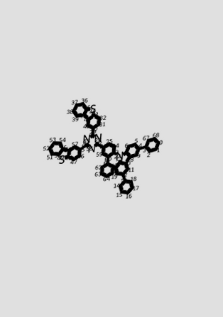 c1ccc(-c2ccc3c(c2)c2cc(-c4ccccc4)ccc2n3-c2ccc(-c3nc(-c4ccc5sc6ccccc6c5c4)nc(-c4ccc5sc6ccccc6c5c4)n3)cc2-c2ccccc2)cc1